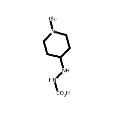 CC(C)(C)N1CCC(NNC(=O)O)CC1